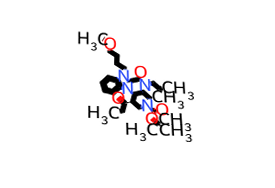 CCC(=O)[C@@H]1C[C@H](N(CC(C)C)C(=O)c2nc3ccccc3n2CCCCOC)CN(C(=O)OC(C)(C)C)C1